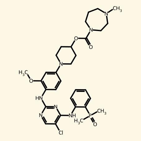 COc1cc(N2CCC(OC(=O)N3CCCN(C)CC3)CC2)ccc1Nc1ncc(Cl)c(Nc2ccccc2P(C)(C)=O)n1